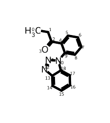 CCC(=O)c1ccccc1-n1nnc2ccccc21